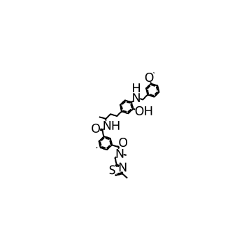 COc1cccc(CNc2ccc(CCC(C)NC(=O)c3c[c]cc(C(=O)N(C)Cc4nc(C)cs4)c3)cc2O)c1